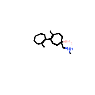 BC1(CNC)CCC(C)=C(C2=C(C)CCCCC2)CC1